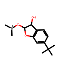 C[SiH](C)OC1Oc2cc(C(C)(C)C)ccc2C1O